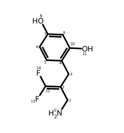 NCC(Cc1ccc(O)cc1O)=C(F)F